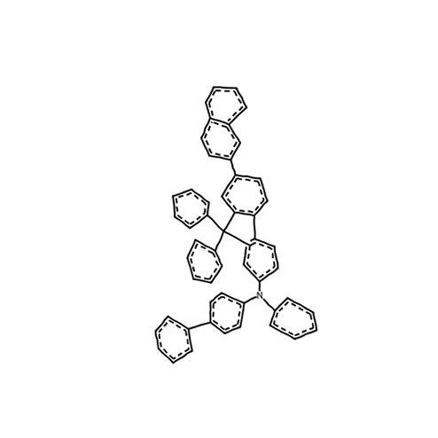 c1ccc(-c2ccc(N(c3ccccc3)c3ccc4c(c3)C(c3ccccc3)(c3ccccc3)c3cc(-c5ccc6ccccc6c5)ccc3-4)cc2)cc1